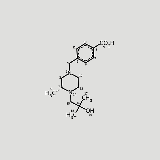 C[C@@H]1CN(Cc2ccc(C(=O)O)cc2)CCN1CC(C)(C)O